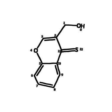 OCc1coc2ccccc2c1=S